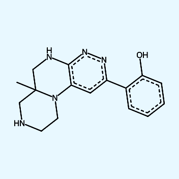 CC12CNCCN1c1cc(-c3ccccc3O)nnc1NC2